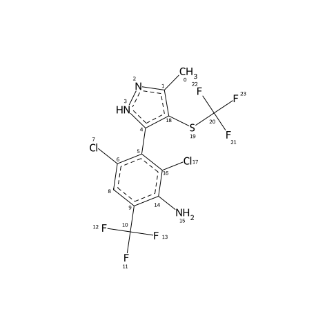 Cc1n[nH]c(-c2c(Cl)cc(C(F)(F)F)c(N)c2Cl)c1SC(F)(F)F